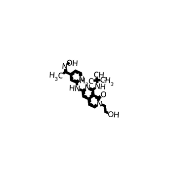 C/C(=N/O)c1ccnc(Nc2cc3ccn(CCO)c(=O)c3c(NC(C)(C)C)n2)c1